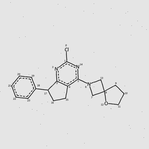 Clc1nc2c(c(N3CC4(CCCO4)C3)n1)CCC2c1ccccc1